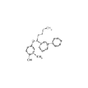 CCCCC(Oc1ccc(O)c(C)c1)c1cccc(-c2ccccc2)c1